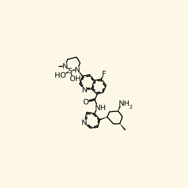 C[C@@H]1C[C@H](N)C[C@H](c2ccncc2NC(=O)c2ccc(F)c3cc(N4CCCN(C)S4(O)O)cnc23)C1